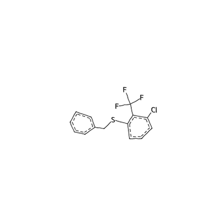 FC(F)(F)c1c(Cl)cccc1SCc1ccccc1